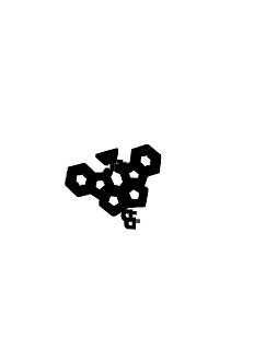 C1=C(C2CCCC2)[CH]([Ti+2]2([CH]3C(C4CCCC4)=Cc4ccccc43)[CH2][CH2]2)c2ccccc21.[Cl-].[Cl-]